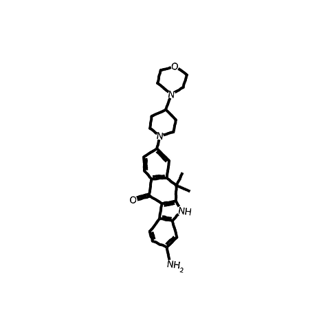 CC1(C)c2cc(N3CCC(N4CCOCC4)CC3)ccc2C(=O)c2c1[nH]c1cc(N)ccc21